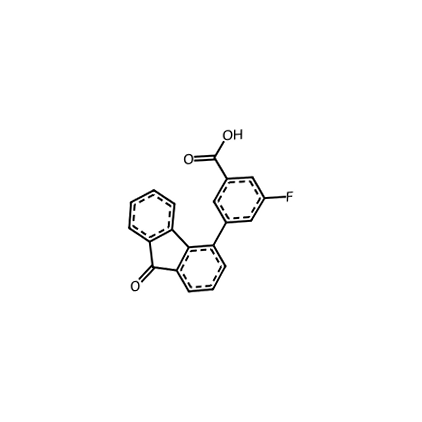 O=C(O)c1cc(F)cc(-c2cccc3c2-c2ccccc2C3=O)c1